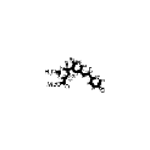 COC(=O)[C@@]1(C)SC(N)=N[C@](C)(c2cc(/C=C(\F)c3ccc(Cl)cn3)cnc2F)[C@@H]1C